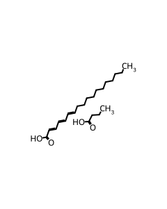 CCCC(=O)O.CCCCCCCCCCC/C=C/C=C/C=C/C(=O)O